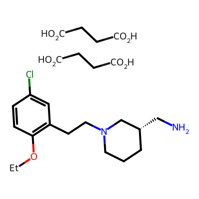 CCOc1ccc(Cl)cc1CCN1CCC[C@@H](CN)C1.O=C(O)CCC(=O)O.O=C(O)CCC(=O)O